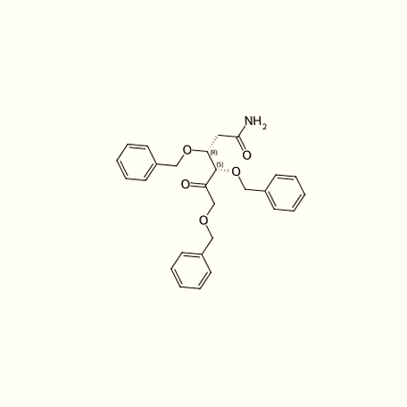 NC(=O)C[C@@H](OCc1ccccc1)[C@H](OCc1ccccc1)C(=O)COCc1ccccc1